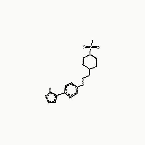 CS(=O)(=O)N1CCC(CCOc2ccc(-c3ccn[nH]3)nc2)CC1